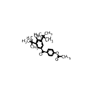 CC(=O)Oc1ccc(C(=O)c2cc(C(C)(C)C)c(C)c(C(C)(C)C)c2)cc1